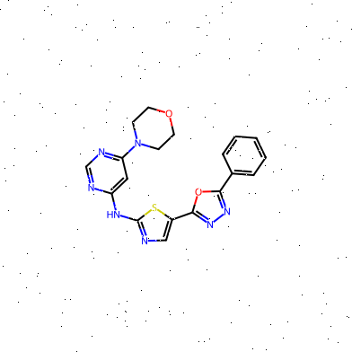 c1ccc(-c2nnc(-c3cnc(Nc4cc(N5CCOCC5)ncn4)s3)o2)cc1